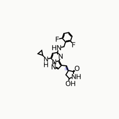 O=C1NC(O)C/C1=C\c1cnn2c(NC3CC3)cc(NCc3c(F)cccc3F)nc12